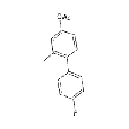 CC(=O)Oc1ccc(-c2ccc(F)cc2)c(C)c1